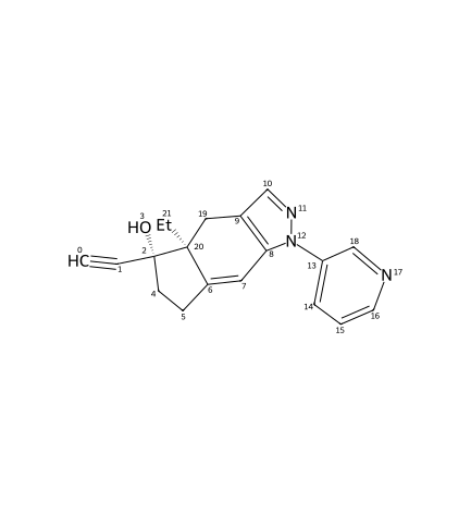 C#C[C@]1(O)CCC2=Cc3c(cnn3-c3cccnc3)C[C@@]21CC